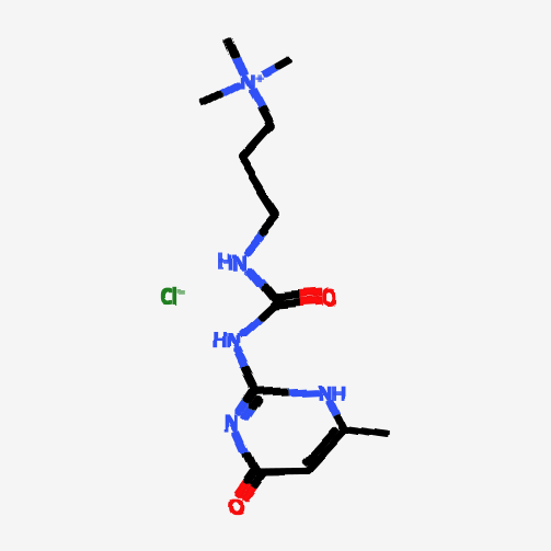 Cc1cc(=O)nc(NC(=O)NCCC[N+](C)(C)C)[nH]1.[Cl-]